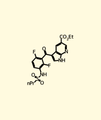 CCCS(=O)(=O)Nc1ccc(F)c(C(=O)c2c[nH]c3ncc(C(=O)OCC)cc23)c1F